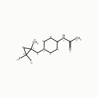 CC(=O)NC1CCN(CC2(C)CC2(F)F)CC1